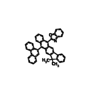 CC1(C)c2ccccc2-c2cc3c(-c4nc5ccccc5o4)c4ccccc4c(-c4cc5ccccc5c5ccccc45)c3cc21